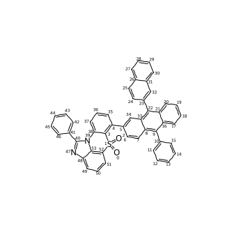 O=S1(=O)c2c(-c3ccc4c(-c5ccccc5)c5ccccc5c(-c5ccc6ccccc6c5)c4c3)cccc2-n2c(-c3ccccc3)nc3cccc1c32